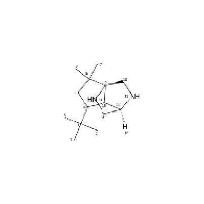 CC(C)(C)C1CC(C)(C)[C@@]23CN[C@@H](CN2)C13